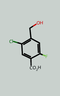 O=C(O)c1cc(Cl)c(CO)cc1F